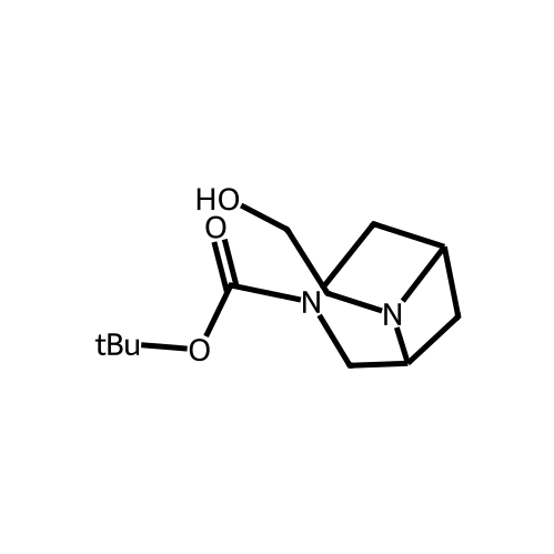 CC(C)(C)OC(=O)N1CC2CC(C1)N2CCO